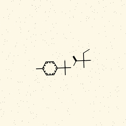 CCC(C)(I)C(=O)OC(C)(C)c1ccc(F)cc1